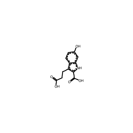 O=C(O)CCc1c(C(=O)O)[nH]c2cc(O)ccc12